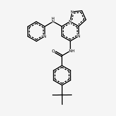 CC(C)(C)c1ccc(C(=O)Nc2cc(Nc3ccccn3)n3nccc3n2)cc1